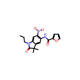 CCCN1C(=O)C(C)(C)c2cc(NC(=O)c3ccco3)c([N+](=O)[O-])cc21